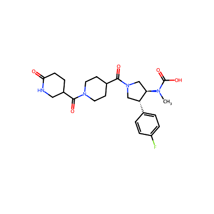 CN(C(=O)O)[C@@H]1CN(C(=O)C2CCN(C(=O)C3CCC(=O)NC3)CC2)C[C@H]1c1ccc(F)cc1